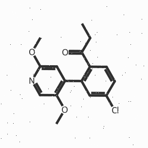 CCC(=O)c1ccc(Cl)cc1-c1cc(OC)ncc1OC